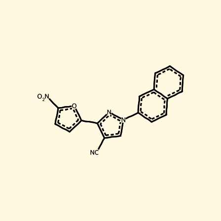 N#Cc1cn(-c2ccc3ccccc3c2)nc1-c1ccc([N+](=O)[O-])o1